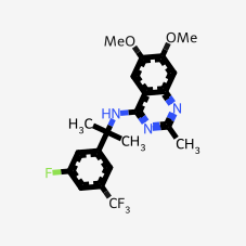 COc1cc2nc(C)nc(NC(C)(C)c3cc(F)cc(C(F)(F)F)c3)c2cc1OC